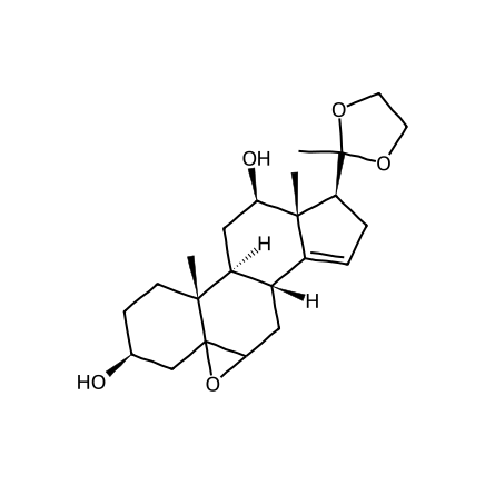 CC1([C@H]2CC=C3[C@@H]4CC5OC56C[C@@H](O)CC[C@]6(C)[C@H]4C[C@@H](O)[C@@]32C)OCCO1